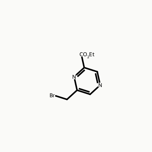 CCOC(=O)c1cncc(CBr)n1